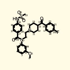 COc1cccc(N(CCN2CCC(C(=O)c3ccc(F)cc3)CC2)C(=O)c2ccc(NS(C)(=O)=O)cc2)c1